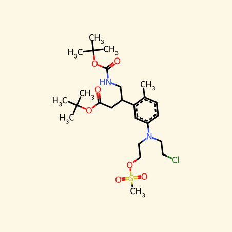 Cc1ccc(N(CCCl)CCOS(C)(=O)=O)cc1C(CNC(=O)OC(C)(C)C)CC(=O)OC(C)(C)C